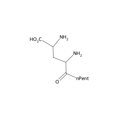 CCCCCC(=O)C(N)CC(N)C(=O)O